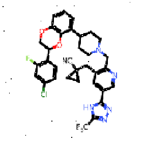 N#CC1(Cc2cc(-c3nnc(C(F)(F)F)[nH]3)cnc2CN2CCC(c3cccc4c3OC(c3ccc(Cl)cc3F)CO4)CC2)CC1